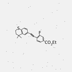 CCOC(=O)c1ccc(C#Cc2ccc3c(c2)C(C)(C)CCS3)c(F)c1